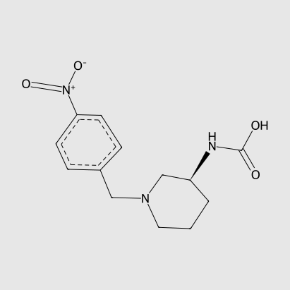 O=C(O)N[C@H]1CCCN(Cc2ccc([N+](=O)[O-])cc2)C1